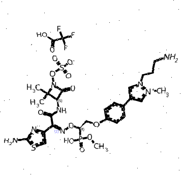 COP(=O)(O)[C@H](COc1ccc(-c2cn(CCCN)[n+](C)c2)cc1)O/N=C(\C(=O)N[C@@H]1C(=O)N(OS(=O)(=O)[O-])C1(C)C)c1csc(N)n1.O=C(O)C(F)(F)F